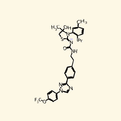 Cc1ccc(C(C)C)c(N2/C(=N/C(=O)NCCc3ccc(-c4ncn(-c5ccc(OC(F)(F)F)cc5)n4)cc3)SCC2(C)O)c1